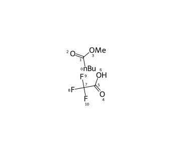 CCCCC(=O)OC.O=C(O)C(F)(F)F